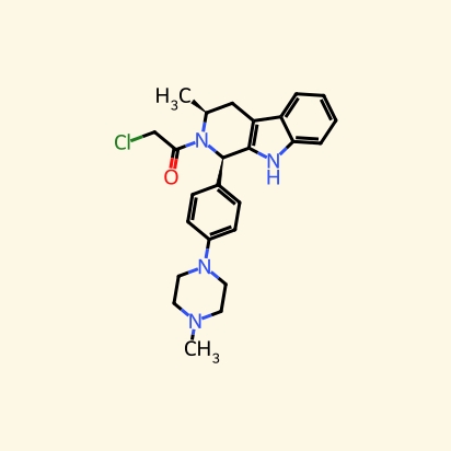 C[C@H]1Cc2c([nH]c3ccccc23)[C@@H](c2ccc(N3CCN(C)CC3)cc2)N1C(=O)CCl